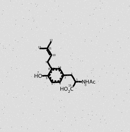 CC(=O)NC(Cc1ccc(O)c(CC=C(C)C)c1)C(=O)O